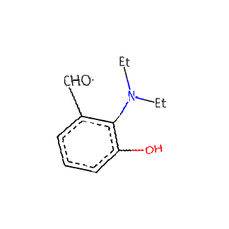 CCN(CC)c1c(O)cccc1[C]=O